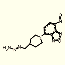 NN=NCC1CCN(c2ccc(N=O)c3nonc23)CC1